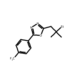 CCC(C)(C)[CH]c1nnc(-c2ccc(C(F)(F)F)cc2)o1